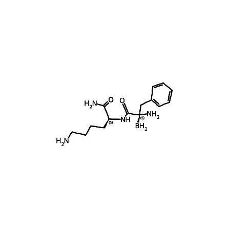 B[C@](N)(Cc1ccccc1)C(=O)N[C@@H](CCCCN)C(N)=O